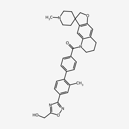 Cc1cc(-c2noc(CO)n2)ccc1-c1ccc(C(=O)N2CCCc3cc4c(cc32)C2(CCN(C)CC2)CO4)cc1